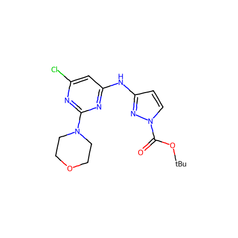 CC(C)(C)OC(=O)n1ccc(Nc2cc(Cl)nc(N3CCOCC3)n2)n1